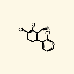 N#CC1=C(c2cccnc2Cl)C[CH]C(Cl)=C1Cl